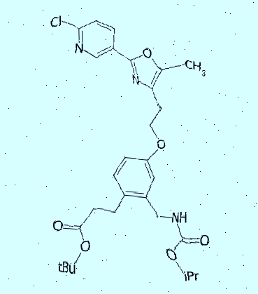 Cc1oc(-c2ccc(Cl)nc2)nc1CCOc1ccc(CCC(=O)OC(C)(C)C)c(CNC(=O)OC(C)C)c1